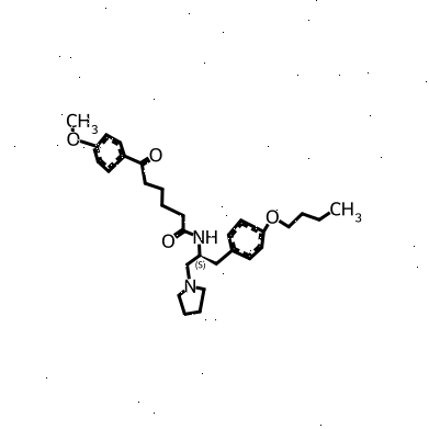 CCCCOc1ccc(C[C@@H](CN2CCCC2)NC(=O)CCCCC(=O)c2ccc(OC)cc2)cc1